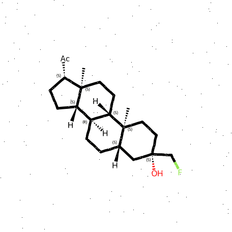 CC(=O)[C@H]1CC[C@H]2[C@@H]3CC[C@H]4C[C@](O)(CF)CC[C@]4(C)[C@H]3CC[C@]12C